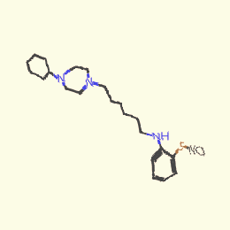 O=NSc1ccccc1NCCCCCCN1CCN(C2CCCCC2)CC1